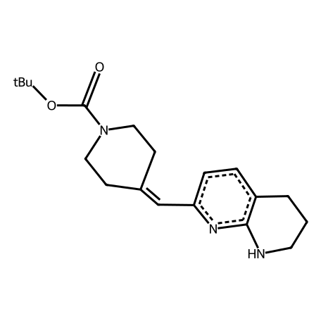 CC(C)(C)OC(=O)N1CCC(=Cc2ccc3c(n2)NCCC3)CC1